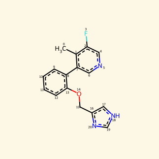 Cc1c(F)cncc1-c1ccccc1OCc1c[nH]cn1